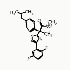 CNC(=O)C(C)(c1ccc(CC(C)C)cc1)c1nc(-c2cc(F)ccc2F)cs1